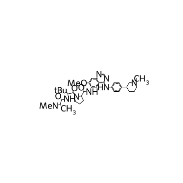 CNC(C)C(=O)NC(C(=O)N1CCCC1C(=O)Nc1cc2c(Nc3ccc(C4CCCN(C)C4)cc3)ncnc2cc1OC)C(C)(C)C